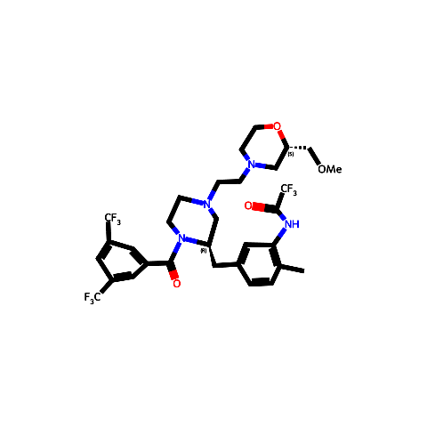 COC[C@@H]1CN(CCN2CCN(C(=O)c3cc(C(F)(F)F)cc(C(F)(F)F)c3)[C@H](Cc3ccc(C)c(NC(=O)C(F)(F)F)c3)C2)CCO1